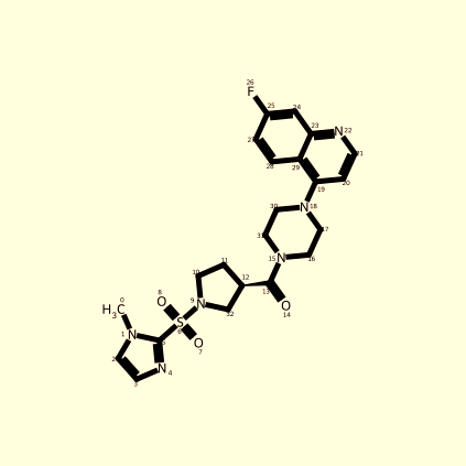 Cn1ccnc1S(=O)(=O)N1CC[C@@H](C(=O)N2CCN(c3ccnc4cc(F)ccc34)CC2)C1